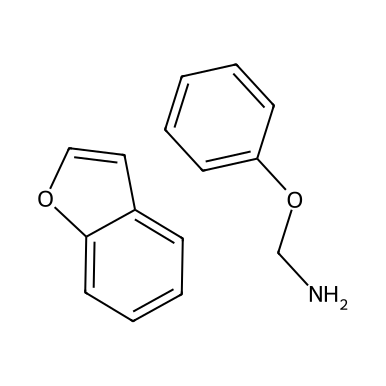 NCOc1ccccc1.c1ccc2occc2c1